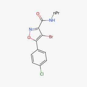 CCCNC(=O)c1noc(-c2ccc(Cl)cc2)c1Br